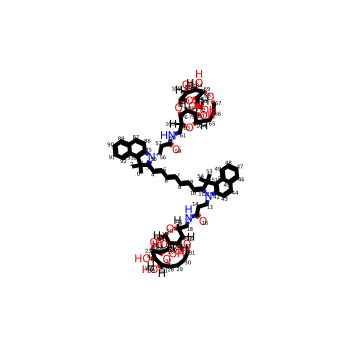 CC1(C)C(/C=C/C=C/C=C/C=C2/N(CCC(=O)NC[C@H]3O[C@@H]4OC5[C@@H](CO)OC(CCCO[C@H]3[C@H](O)[C@H]4O)[C@H](O)[C@H]5O)c3ccc4ccccc4c3C2(C)C)=[N+](CCC(=O)NC[C@H]2O[C@@H]3CCCOC4[C@@H](CO)OC(OC2[C@H](O)[C@H]3O)[C@H](O)[C@H]4O)c2ccc3ccccc3c21